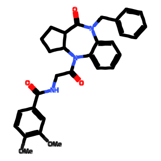 COc1ccc(C(=O)NCC(=O)N2c3ccccc3N(Cc3ccccc3)C(=O)C3CCCC32)cc1OC